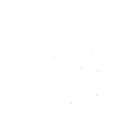 COCC(F)(F)c1cc(N)cc([C@@H](C)Nc2nc(C)nc3c(C)cc(O[C@H]4CCOC4)cc23)c1